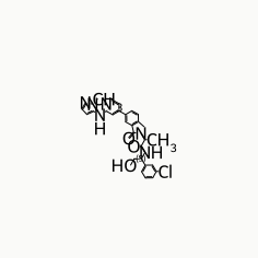 CC(C(=O)N[C@H](CO)c1cccc(Cl)c1)N1Cc2ccc(-c3ccnc(Nc4ccnn4C)c3)cc2C1=O